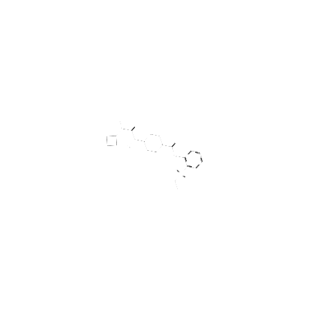 CCS(=O)(=O)c1ccccc1NC(=O)C1CCC([C@H](N)C(=O)N(C)C2CCC2)CC1